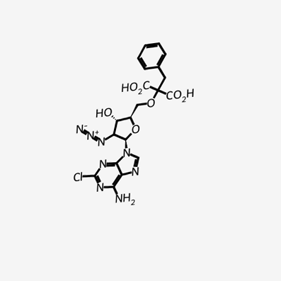 [N-]=[N+]=NC1[C@H](n2cnc3c(N)nc(Cl)nc32)O[C@H](COC(Cc2ccccc2)(C(=O)O)C(=O)O)[C@H]1O